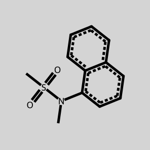 CN(c1cccc2ccccc12)S(C)(=O)=O